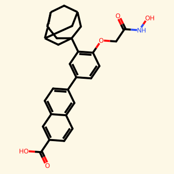 O=C(COc1ccc(-c2ccc3cc(C(=O)O)ccc3c2)cc1C12CCC3CC(CC(C3)C1)C2)NO